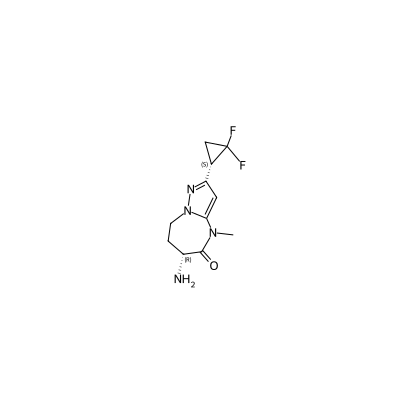 CN1C(=O)[C@H](N)CCn2nc([C@@H]3CC3(F)F)cc21